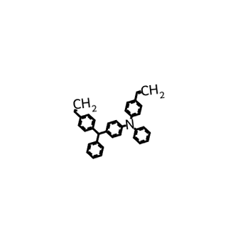 C=Cc1ccc(C(c2ccccc2)c2ccc(N(c3ccccc3)c3ccc(C=C)cc3)cc2)cc1